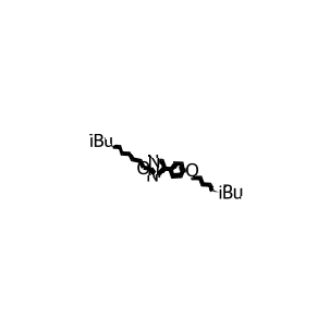 CC[C@H](C)CCCCCCOc1ncc(-c2ccc(OCCCCC[C@@H](C)CC)cc2)cn1